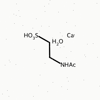 CC(=O)NCCS(=O)(=O)O.O.[Ca]